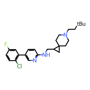 CC(C)(C)CCN1CCC2(CC1)CC2CNc1ccc(-c2cc(F)ccc2Cl)cn1